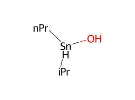 CC[CH2][SnH]([OH])[CH](C)C